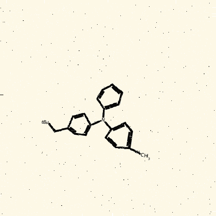 Cc1ccc(N(c2ccccc2)c2ccc(CC(C)(C)C)cc2)cc1